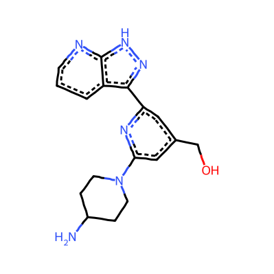 NC1CCN(c2cc(CO)cc(-c3n[nH]c4ncccc34)n2)CC1